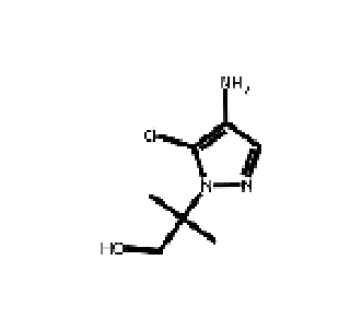 CC(C)(CO)n1ncc(N)c1Cl